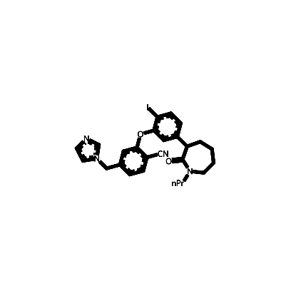 CCCN1CCCCC(c2ccc(I)c(Oc3cc(Cn4ccnc4)ccc3C#N)c2)C1=O